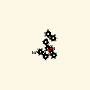 N#Cc1cc(-c2cccc(-n3c4ccccc4c4ccccc43)c2)cc(-n2c3ccc(C#N)cc3c3cccc(-n4c5ccccc5c5ccccc54)c32)c1